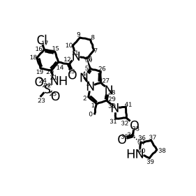 Cc1cn2nc([C@@H]3CCCCN3C(=O)c3cc(Cl)ccc3NS(C)(=O)=O)cc2nc1N1CC(OC(=O)[C@@H]2CCCN2)C1